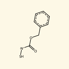 O=C([N+]S)OCc1ccccc1